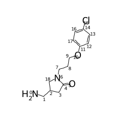 NCC1CC(=O)N(CCCOc2ccc(Cl)cc2)C1